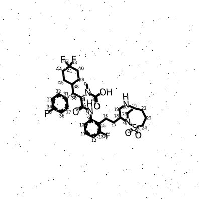 CN(C(=O)O)[C@H](C(=O)Nc1cccc(F)c1CCC1CNC2CCCS(=O)(=O)N1C2)[C@H](c1ccc(F)cc1)C1CCC(F)(F)CC1